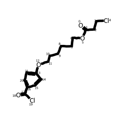 O=C(CCCl)OCCCCCCOc1ccc(C(=O)Cl)cc1